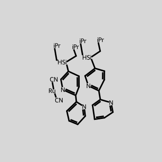 CC(C)C[SiH](CC(C)C)c1ccc(-c2ccccn2)nc1.CC(C)C[SiH](CC(C)C)c1ccc(-c2ccccn2)nc1.N#[C][Ru][C]#N